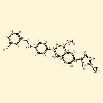 Nc1nc(-c2ccc(OCc3cccc(F)c3)cc2)nc2ccc(-c3nnc(C(F)(F)F)o3)cc12